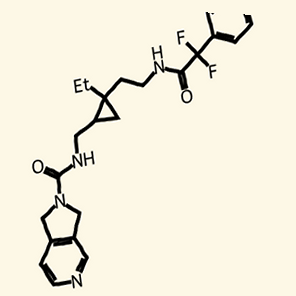 CCC1(CCNC(=O)C(F)(F)c2ccccc2)CC1CNC(=O)N1Cc2ccncc2C1